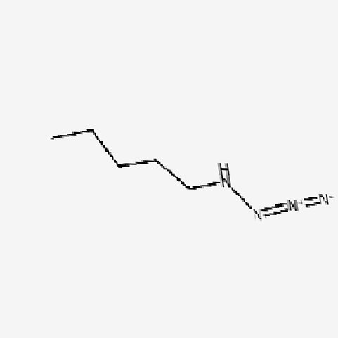 CCCCCNN=[N+]=[N-]